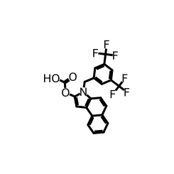 O=C(O)Oc1cc2c3ccccc3ccc2n1Cc1cc(C(F)(F)F)cc(C(F)(F)F)c1